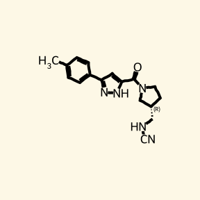 Cc1ccc(-c2cc(C(=O)N3CC[C@H](CNC#N)C3)[nH]n2)cc1